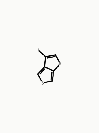 Ic1csc2cscc12